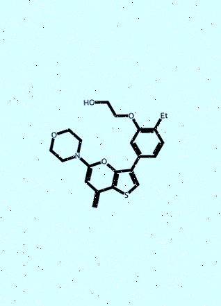 C=C1C=C(N2CCOCC2)Oc2c(-c3ccc(CC)c(OCCO)c3)csc21